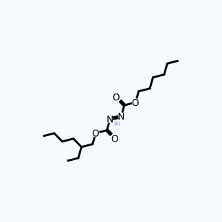 CCCCCCOC(=O)/N=N/C(=O)OCC(CC)CCCC